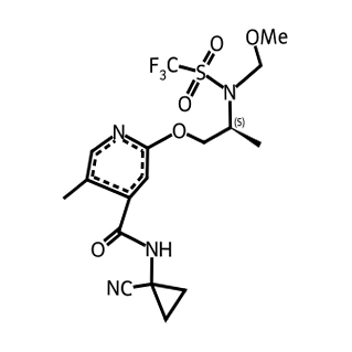 COCN([C@@H](C)COc1cc(C(=O)NC2(C#N)CC2)c(C)cn1)S(=O)(=O)C(F)(F)F